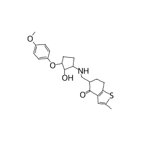 COc1ccc(OC2CCC(NCC3CCc4sc(C)cc4C3=O)C2O)cc1